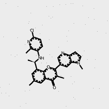 Cc1cc([C@@H](C)Nc2ccc(Cl)nc2C)c2oc(-c3cnc4ccn(C)c4c3)c(C)c(=O)c2c1